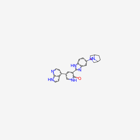 CN1C2CCC1CN(c1ccc3[nH]c(-c4cc(-c5ccnc6[nH]ccc56)c[nH]c4=O)nc3c1)C2